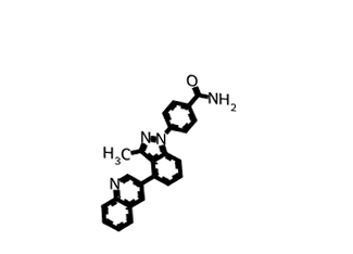 Cc1nn(-c2ccc(C(N)=O)cc2)c2cccc(-c3cnc4ccccc4c3)c12